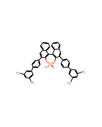 O=P1(O)Oc2c(-c3ccc(-c4cc(C(F)(F)F)cc(C(F)(F)F)c4)cc3)cc3ccccc3c2-c2c(c(-c3ccc(-c4cc(C(F)(F)F)cc(C(F)(F)F)c4)cc3)cc3ccccc23)O1